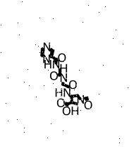 O=CN1CC(NC(=O)CNC(=O)CNC(=O)c2cnccn2)C(C(=O)O)C1